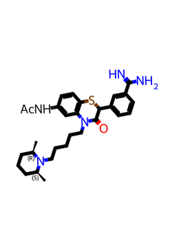 CC(=O)Nc1ccc2c(c1)N(CCCCCN1[C@H](C)CCC[C@@H]1C)C(=O)C(c1cccc(C(=N)N)c1)S2